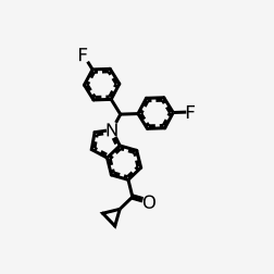 O=C(c1ccc2c(ccn2C(c2ccc(F)cc2)c2ccc(F)cc2)c1)C1CC1